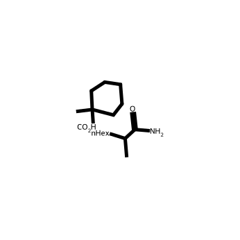 CC1(C(=O)O)CCCCC1.CCCCCCC(C)C(N)=O